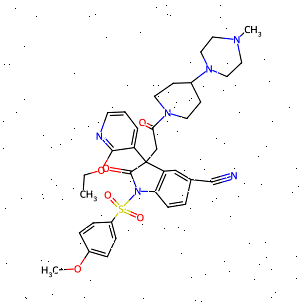 CCOc1ncccc1C1(CC(=O)N2CCC(N3CCN(C)CC3)CC2)C(=O)N(S(=O)(=O)c2ccc(OC)cc2)c2ccc(C#N)cc21